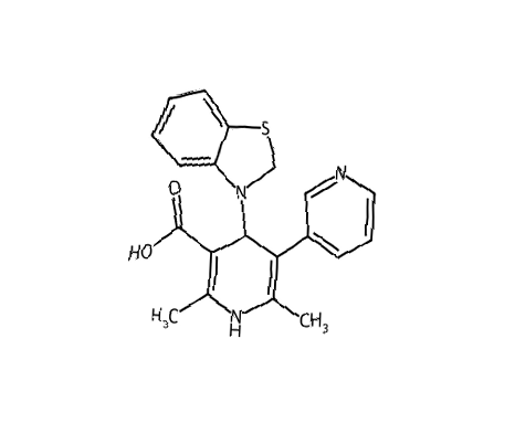 CC1=C(C(=O)O)C(N2CSc3ccccc32)C(c2cccnc2)=C(C)N1